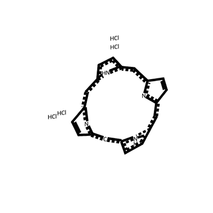 C1=Cc2cc3ccc(cc4nc(cc5ccc(cc1n2)[nH]5)C=C4)[nH]3.Cl.Cl.Cl.Cl